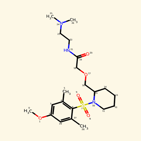 COc1cc(C)c(S(=O)(=O)N2CCCCC2COCC(=O)NCCN(C)C)c(C)c1